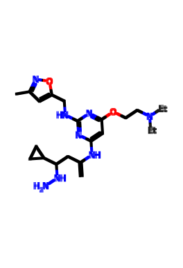 C=C(CC(NN)C1CC1)Nc1cc(OCCN(CC)CC)nc(NCc2cc(C)no2)n1